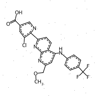 COCc1cc(Nc2ccc(C(F)(F)F)cc2)c2ccc(-c3ncc(C(=O)O)cc3Cl)nc2n1